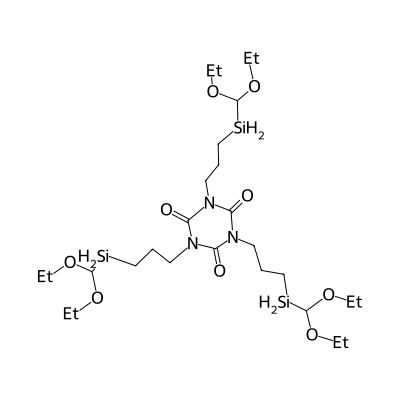 CCOC(OCC)[SiH2]CCCn1c(=O)n(CCC[SiH2]C(OCC)OCC)c(=O)n(CCC[SiH2]C(OCC)OCC)c1=O